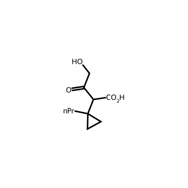 CCCC1(C(C(=O)O)C(=O)CO)CC1